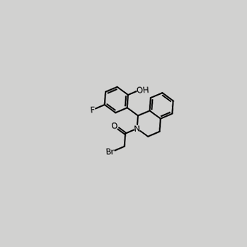 O=C(CBr)N1CCc2ccccc2C1c1cc(F)ccc1O